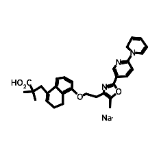 Cc1oc(-c2ccc(N3C=CC=CC3)nc2)nc1CCOc1cccc2c1CCC=C2CC(C)(C)C(=O)O.[Na]